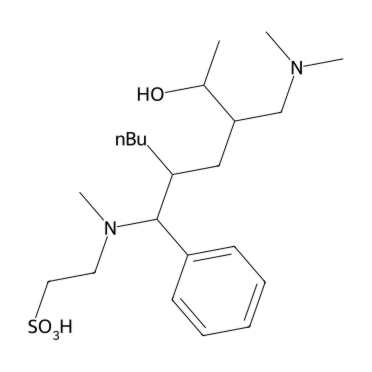 CCCCC(CC(CN(C)C)C(C)O)C(c1ccccc1)N(C)CCS(=O)(=O)O